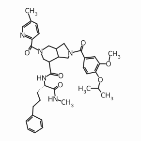 CNC(=O)[C@H](CCCc1ccccc1)NC(=O)C1CN(C(=O)c2ccc(C)cn2)CC2CN(C(=O)c3ccc(OC(C)C)c(OC)c3)CC21